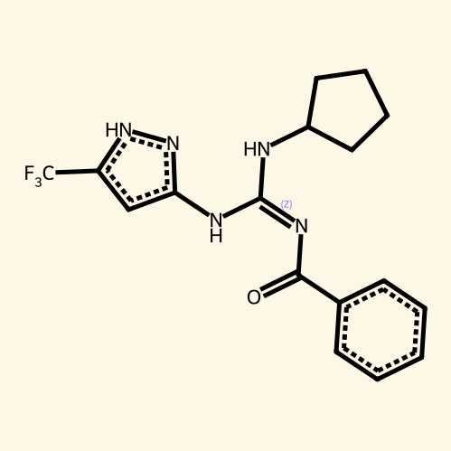 O=C(/N=C(\Nc1cc(C(F)(F)F)[nH]n1)NC1CCCC1)c1ccccc1